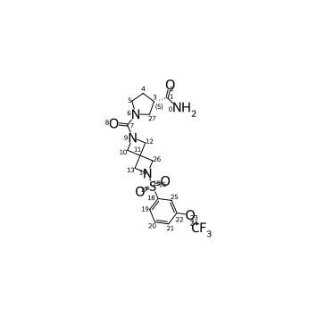 NC(=O)[C@H]1CCN(C(=O)N2CC3(C2)CN(S(=O)(=O)c2cccc(OC(F)(F)F)c2)C3)C1